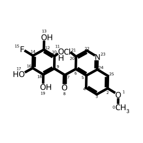 COc1ccc2c(C(=O)c3c(O)c(O)c(F)c(O)c3O)c(Cl)cnc2c1